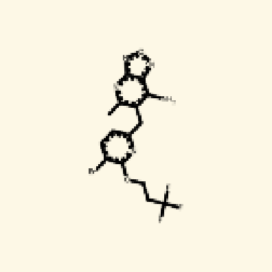 Cc1nc2nonc2c(N)c1Cc1ccc(Br)c(OCCC(F)(F)F)n1